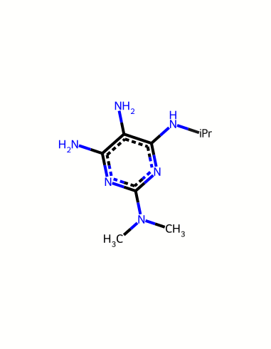 CC(C)Nc1nc(N(C)C)nc(N)c1N